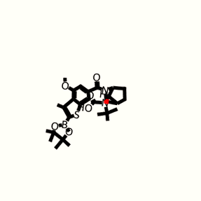 COc1cc(C(=O)N2CC3CCC2[C@@H]3N(C(=O)O)C(C)(C)C)cc2sc(B3OC(C)(C)C(C)(C)O3)c(C)c12